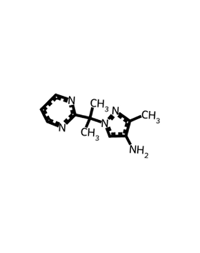 Cc1nn(C(C)(C)c2ncccn2)cc1N